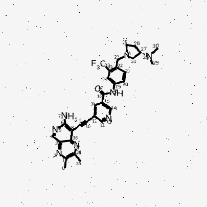 Cc1nc2cnc(N)c(C#Cc3cncc(C(=O)Nc4ccc(CN5CC[C@H](N(C)C)C5)c(C(F)(F)F)c4)c3)c2nc1C